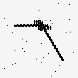 CCCCCCCCCCCCCCCCCCCCCC=C(O)C(=O)N[C@H](CO)[C@H](O)C(O)CCCCCCCCCCCCCC